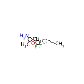 CCCCC[C@H]1CC[C@H](c2ccc(Oc3c(C)cc(N)cc3C)c(F)c2F)CC1